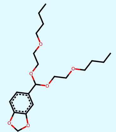 CCCCOCCOC(OCCOCCCC)c1ccc2c(c1)OCO2